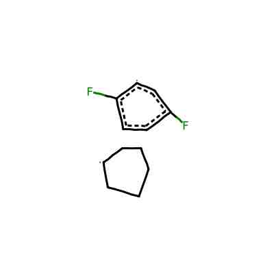 Fc1[c]cc(F)cc1.[CH]1CCCCC1